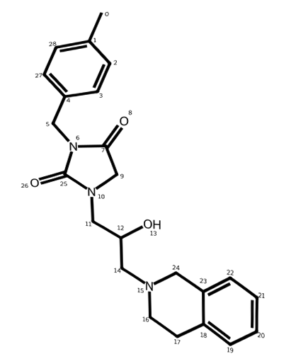 Cc1ccc(CN2C(=O)CN(CC(O)CN3CCc4ccccc4C3)C2=O)cc1